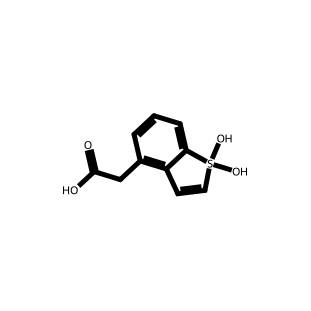 O=C(O)Cc1cccc2c1C=CS2(O)O